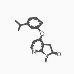 CC(C)c1cccc(Oc2ccnc3c2CC(=O)N3C)c1